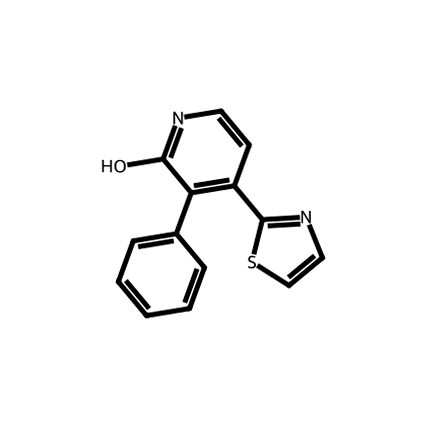 Oc1nccc(-c2nccs2)c1-c1ccccc1